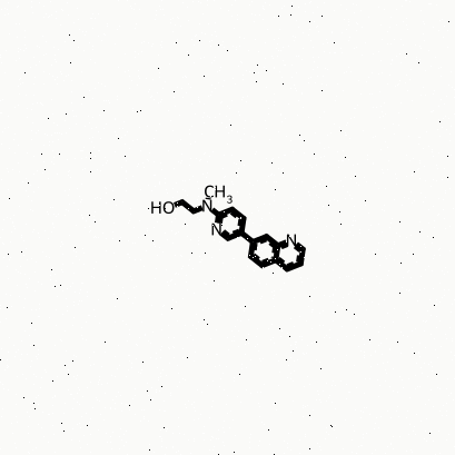 CN(CCO)c1ccc(-c2ccc3cccnc3c2)cn1